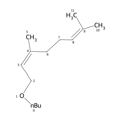 CCCCOCC=C(C)CCC=C(C)C